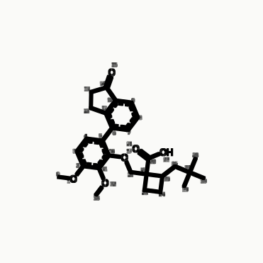 COc1ccc(-c2cccc3c2CCC3=O)c(OCC2(C(=O)O)CCC2CC(C)(C)C)c1OC